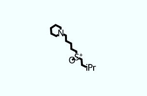 CC(C)CC[S+]([O-])CCCCCN1CCCCC1